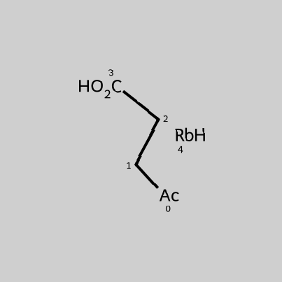 CC(=O)CCC(=O)O.[RbH]